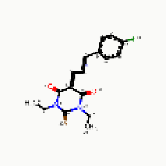 CCN1C(=O)C(=C/C=C/c2ccc(F)cc2)C(=O)N(CC)C1=S